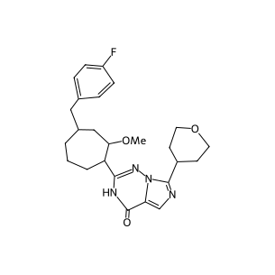 COC1CC(Cc2ccc(F)cc2)CCCC1c1nn2c(C3CCOCC3)ncc2c(=O)[nH]1